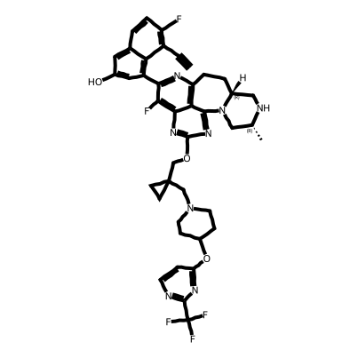 C#Cc1c(F)ccc2cc(O)cc(-c3nc4c5c(nc(OCC6(CN7CCC(Oc8ccnc(C(F)(F)F)n8)CC7)CC6)nc5c3F)N3C[C@@H](C)NC[C@H]3CC4)c12